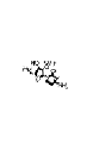 Nc1ccn([C@@H]2O[C@H](CO)[C@H](O)[C@H]2OO)c(=O)n1